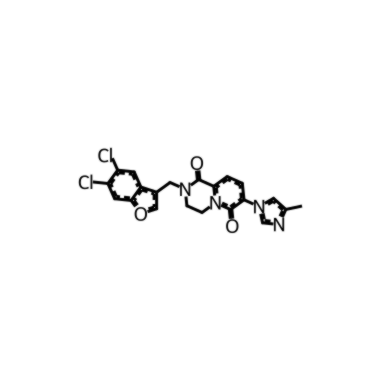 Cc1cn(-c2ccc3n(c2=O)CCN(Cc2coc4cc(Cl)c(Cl)cc24)C3=O)cn1